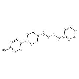 Oc1ccc(C2CCC(NCCOc3ccccc3)CC2)cc1